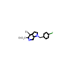 CCOC(=O)c1ncc2c(ccn2Cc2ccc(F)cc2)c1CC